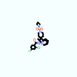 CC(C)(NC(=O)c1ccc(Cl)cc1Cl)C1(c2ccccn2)CCN(S(=O)(=O)N2CCC2)CC1